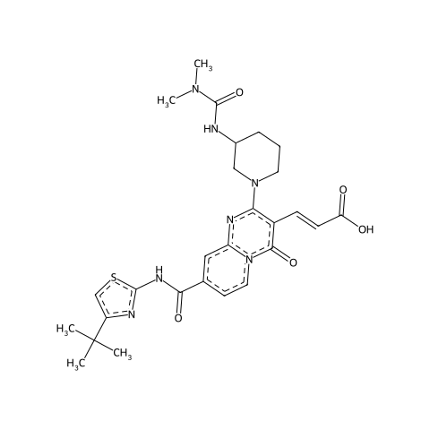 CN(C)C(=O)NC1CCCN(c2nc3cc(C(=O)Nc4nc(C(C)(C)C)cs4)ccn3c(=O)c2C=CC(=O)O)C1